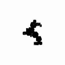 Cn1cc(/C(C[C@H](c2ccc(-c3ccc(C(=O)O)s3)cc2)c2ccc(Cl)cc2F)=N/O)ccc1=O